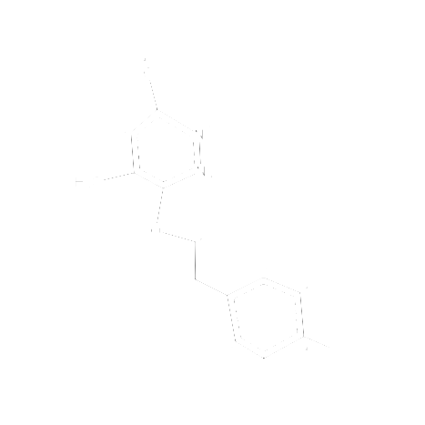 Cc1cc(Cl)nnc1OCCc1ccc(F)cc1